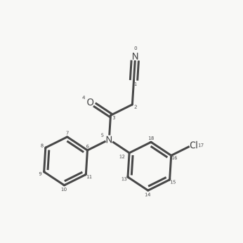 N#CCC(=O)N(c1ccccc1)c1cccc(Cl)c1